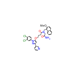 COc1ccc2ccccc2c1CN(CC(N)=O)C(=O)CCCOc1cc(-c2cccnc2)nn1-c1ccc(Cl)c(Cl)c1